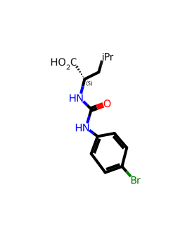 CC(C)C[C@H](NC(=O)Nc1ccc(Br)cc1)C(=O)O